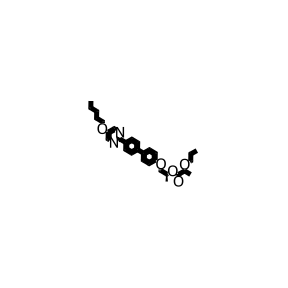 CCCCCOc1cnc(-c2ccc(-c3ccc(OC[C@H](C)OC(=O)C(C)OCCC)cc3)cc2)nc1